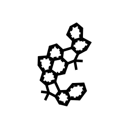 CC1(C)c2ccc3ccccc3c2-c2c1cc1ccc3ccc4c5c(cc2c1c35)C(C)(C)c1ccc2ccccc2c1-4